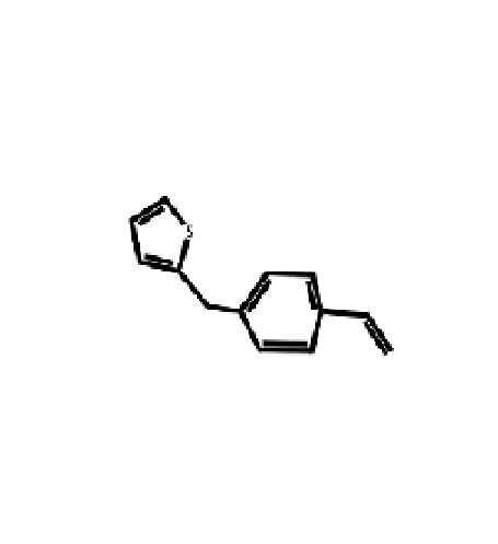 C=Cc1ccc(Cc2cccs2)cc1